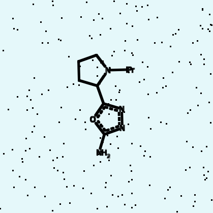 CC(C)N1CCCC1c1nnc(N)o1